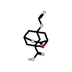 O=COC12CC3CC(C(=O)O)(CC(C1)C(=O)O3)C2